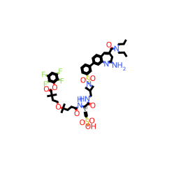 CCCN(CCC)C(=O)C1=Cc2ccc(-c3cccc(S(=O)(=O)N4CC(CNC(=O)[C@H](C#CS(=O)(=O)O)NC(=O)CCC(C)(C)OCCC(C)(C)C(=O)Oc5c(F)c(F)cc(F)c5F)C4)c3)cc2N=C(N)C1